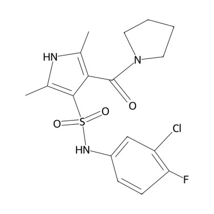 Cc1[nH]c(C)c(S(=O)(=O)Nc2ccc(F)c(Cl)c2)c1C(=O)N1CCCC1